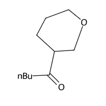 CCCCC(=O)C1CCCOC1